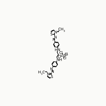 CC[n+]1ccsc1/N=N/c1ccc(NCCCNc2ccc(/N=N/c3scc[n+]3CC)cc2)cc1.[Cl][Zn-2]([Cl])([Cl])[Cl]